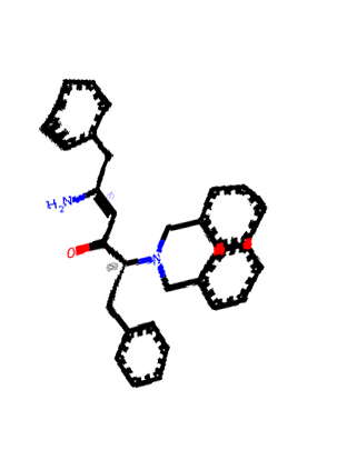 N/C(=C\C(=O)[C@H](Cc1ccccc1)N(Cc1ccccc1)Cc1ccccc1)Cc1ccccc1